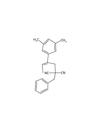 Cc1cc(C)cc(/C(=C/I)CC(C#N)(C#N)Cc2ccccc2)c1